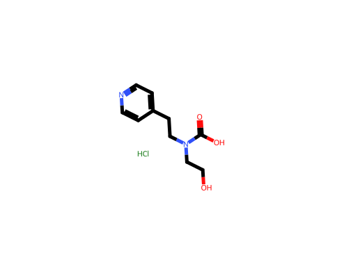 Cl.O=C(O)N(CCO)CCc1ccncc1